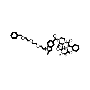 Cc1cc2cc(C(=O)N3CCN(C(=O)[C@@H](NC(=O)[C@H](C)N(C)C(=O)OC(C)(C)C)C4CCCCC4)CC3)ccc2n1CCOCCOCCOCc1ccccc1